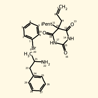 Brc1ccccc1.C=CCC1(C(C)CCC)C(=O)NC(=O)NC1=O.CC(N)Cc1ccccc1